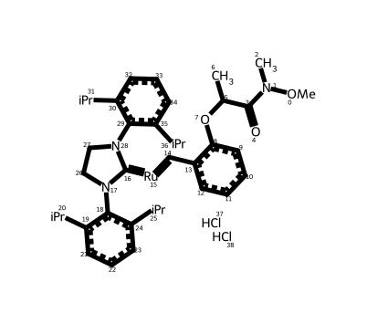 CON(C)C(=O)C(C)Oc1ccccc1[CH]=[Ru]=[C]1N(c2c(C(C)C)cccc2C(C)C)CCN1c1c(C(C)C)cccc1C(C)C.Cl.Cl